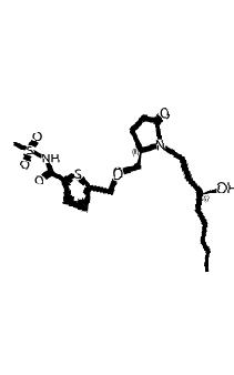 CCCCC[C@H](O)CCN1C(=O)CC[C@@H]1COCc1ccc(C(=O)NS(C)(=O)=O)s1